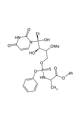 CC[C@@](O)([C@H](O)C(COP(=S)(NC(C)C(=O)OC(C)C)Oc1ccccc1)OC)n1ccc(=O)[nH]c1=O